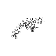 CC(C)OC1=C(C(=O)OCc2ccccc2)N2C(=O)[C@H](C(C)OC(=O)OCc3ccc([N+](=O)[O-])cc3)[C@@H]2[S@@+]([O-])C1=[N+]=[N-]